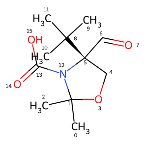 CC1(C)OC[C@](C=O)(C(C)(C)C)N1C(=O)O